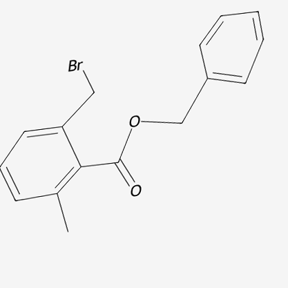 Cc1cccc(CBr)c1C(=O)OCc1ccccc1